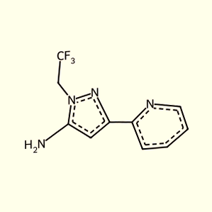 Nc1cc(-c2ccccn2)nn1CC(F)(F)F